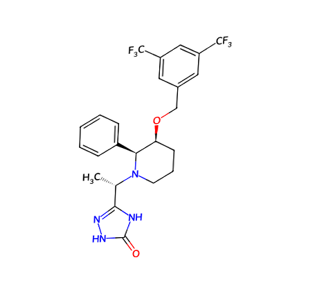 C[C@@H](c1n[nH]c(=O)[nH]1)N1CCC[C@H](OCc2cc(C(F)(F)F)cc(C(F)(F)F)c2)[C@@H]1c1ccccc1